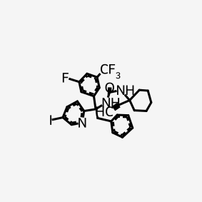 C#CC1(NC(=O)N[C@@](Cc2ccccc2)(c2cc(F)cc(C(F)(F)F)c2)c2ccc(I)cn2)CCCCC1